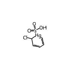 O=[S](=O)(O)[Hg]1[CH]=CC=C[CH]1Cl